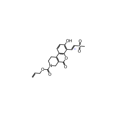 C=CCOC(=O)N1CCc2c(c(=O)oc3c(/C=C/S(C)(=O)=O)c(O)ccc23)C1